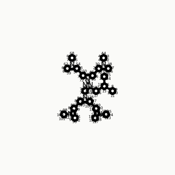 c1ccc(-c2cc(-c3ccccc3)cc(-c3cccc(-c4nc(-n5c6ccc(-c7ccc8c(c7)c7ccccc7n8-c7ccccc7)cc6c6cc(-c7ccc8c(c7)c7ccccc7n8-c7ccccc7)ccc65)nc5ccc(-n6c7ccc(-c8ccc9c(c8)c8ccccc8n9-c8ccccc8)cc7c7cc(-c8ccc9c(c8)c8ccccc8n9-c8ccccc8)ccc76)cc45)c3)c2)cc1